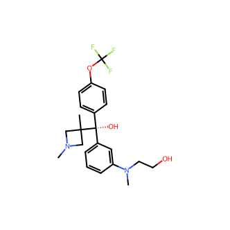 CN1CC(C)([C@@](O)(c2ccc(OC(F)(F)F)cc2)c2cccc(N(C)CCO)c2)C1